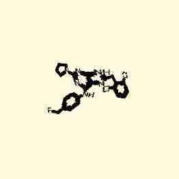 FCc1ccc(Nc2nc(N3CCCC3)nc3[nH]c(Cc4c(Cl)cccc4Cl)nc23)cc1